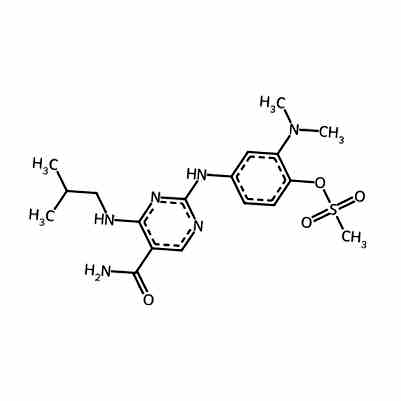 CC(C)CNc1nc(Nc2ccc(OS(C)(=O)=O)c(N(C)C)c2)ncc1C(N)=O